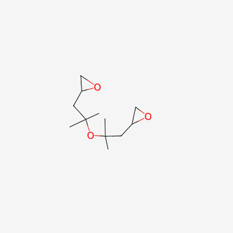 CC(C)(CC1CO1)OC(C)(C)CC1CO1